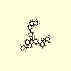 c1ccc2c(c1)-c1cccc3c(N(c4ccc(-c5ccc6ccc7ccccc7c6c5)cc4)c4ccc(-c5cccc6c5oc5ccccc56)cc4)ccc-2c13